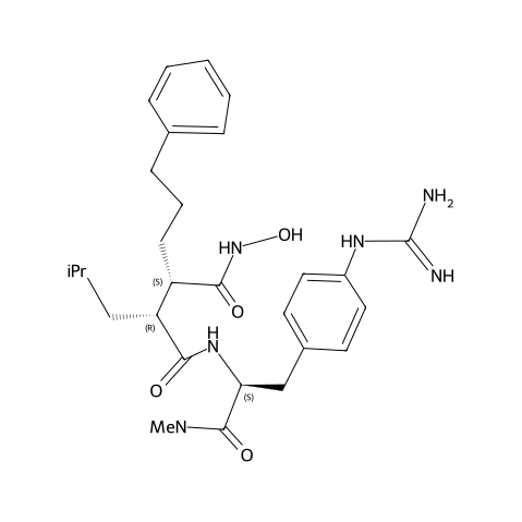 CNC(=O)[C@H](Cc1ccc(NC(=N)N)cc1)NC(=O)[C@H](CC(C)C)[C@H](CCCc1ccccc1)C(=O)NO